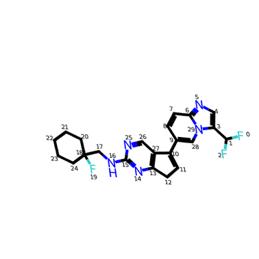 FC(F)c1cnc2ccc(C3=CCc4nc(NCC5(F)CCCCC5)ncc43)cn12